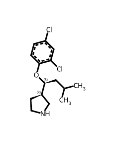 CC(C)C[C@H](Oc1ccc(Cl)cc1Cl)[C@@H]1CCNC1